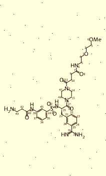 COCCOCCNC(=O)CCC(=O)N1CCN(C(=O)[C@@H](Cc2cccc(C(=N)N)c2)NS(=O)(=O)c2cccc(NC(=O)CCN)c2)CC1